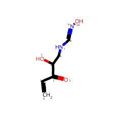 C=CC(=O)C(O)CN[C]=NO